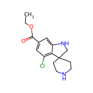 CCOC(=O)c1cc(Cl)c2c(c1)NCC21CCNCC1